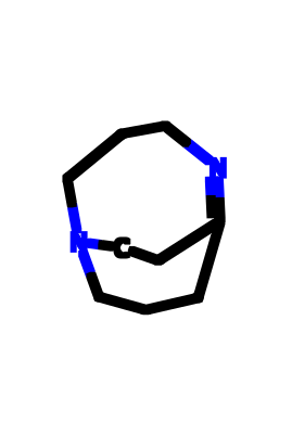 C1CN=C2CCCN(C1)CC2